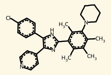 Cc1c(C)c(-c2nc(-c3ccncc3)c(-c3ccc(Cl)cc3)[nH]2)c(C)c(N2CCCCC2)c1C